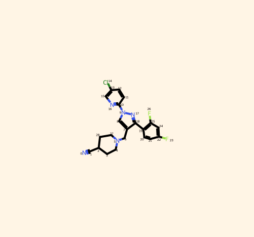 N#CC1CCN(Cc2cn(-c3ccc(Cl)cn3)nc2-c2ccc(F)cc2F)CC1